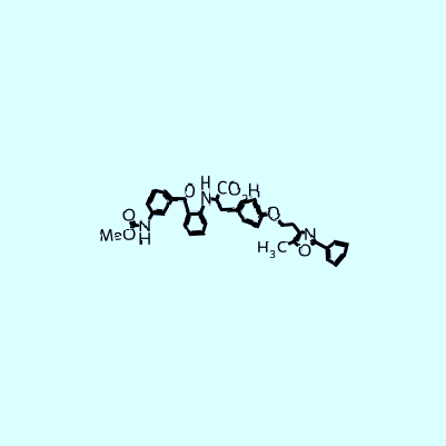 COC(=O)Nc1cccc(C(=O)c2ccccc2NC(Cc2ccc(OCCc3nc(-c4ccccc4)oc3C)cc2)C(=O)O)c1